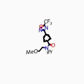 COCCN(C(=O)c1ccc(-c2noc(C(F)(F)F)n2)cc1)C(C)C